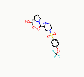 O=C(C1CN(S(=O)(=O)c2ccc(OC(F)(F)F)cc2)CCN1)N1CCC[C@H]1B(O)O